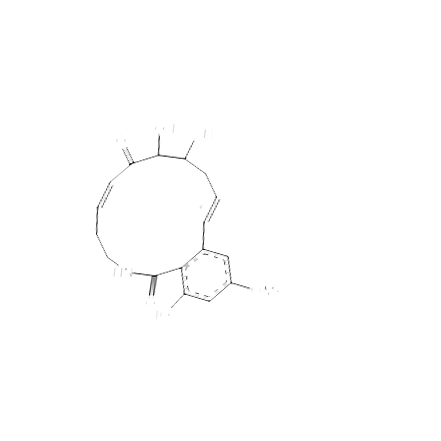 COc1cc(O)c2c(c1)/C=C/CC(O)C(O)C(=O)/C=C\CCNC2=O